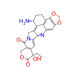 CC[C@@]1(O)C(=O)OCc2c1cc1n(c2=O)Cc2c-1nc1cc3c(c4c1c2[C@@H](N)CC4)OCO3